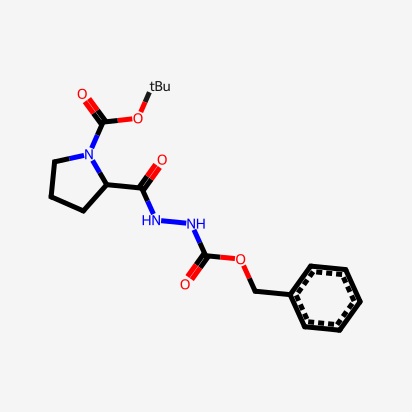 CC(C)(C)OC(=O)N1CCCC1C(=O)NNC(=O)OCc1ccccc1